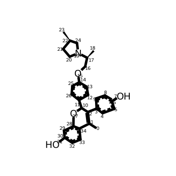 CC1=C(c2ccc(O)cc2)C(c2ccc(OC[C@H](C)N3CC[C@@H](C)C3)cc2)Oc2cc(O)ccc21